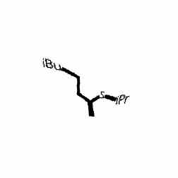 C=C(CCC(C)CC)SC(C)C